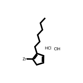 CCCCCCC1=[C]([Zr])CC=C1.Cl.Cl